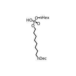 CCCCCCCCCCCCCCCCCCOP(=O)(O)OCCCCCC